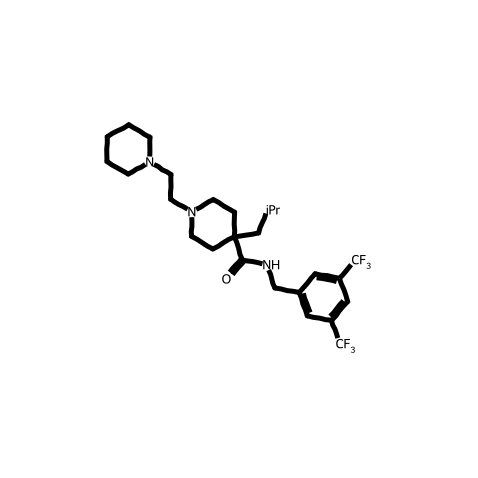 CC(C)CC1(C(=O)NCc2cc(C(F)(F)F)cc(C(F)(F)F)c2)CCN(CCN2CCCCC2)CC1